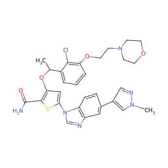 CC(Oc1cc(-n2cnc3cc(-c4cnn(C)c4)ccc32)sc1C(N)=O)c1cccc(OCCN2CCOCC2)c1Cl